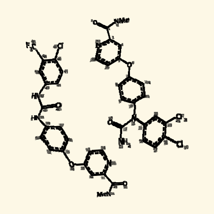 CNC(=O)c1cc(Oc2ccc(N(C(N)=O)c3ccc(Cl)c(C(F)(F)F)c3)cc2)ccn1.CNC(=O)c1cc(Oc2ccc(NC(=O)Nc3ccc(Cl)c(C(F)(F)F)c3)cc2)ccn1